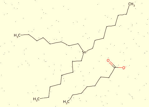 CCCCCCCC(=O)[O-].CCCCCCC[CH2][Sn+]([CH2]CCCCCCC)[CH2]CCCCCCC